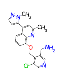 Cc1cc(-c2ccnn2C)c2cccc(OCc3c(Cl)cncc3CN)c2n1